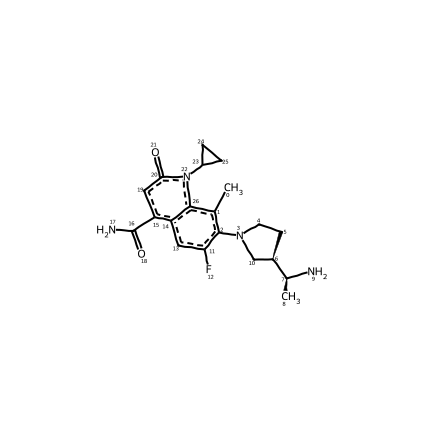 Cc1c(N2CC[C@@H]([C@H](C)N)C2)c(F)cc2c(C(N)=O)cc(=O)n(C3CC3)c12